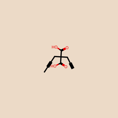 C#CCC(CC#CC)(C(=O)O)C(=O)O